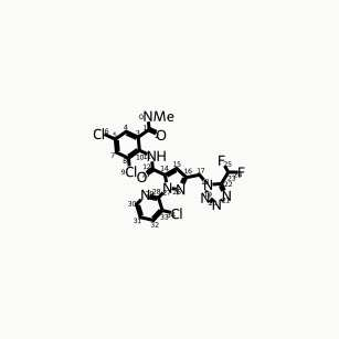 CNC(=O)c1cc(Cl)cc(Cl)c1NC(=O)c1cc(Cn2nnnc2C(F)F)nn1-c1ncccc1Cl